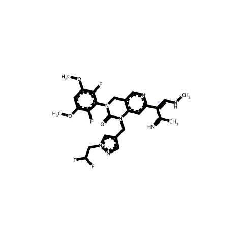 CN/C=C(\C(C)=N)c1cc2c(cn1)CN(c1c(F)c(OC)cc(OC)c1F)C(=O)N2Cc1cnn(CC(F)F)c1